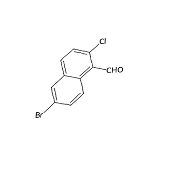 O=Cc1c(Cl)ccc2cc(Br)ccc12